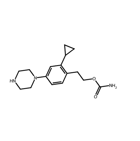 NC(=O)OCCc1ccc(N2CCNCC2)cc1C1CC1